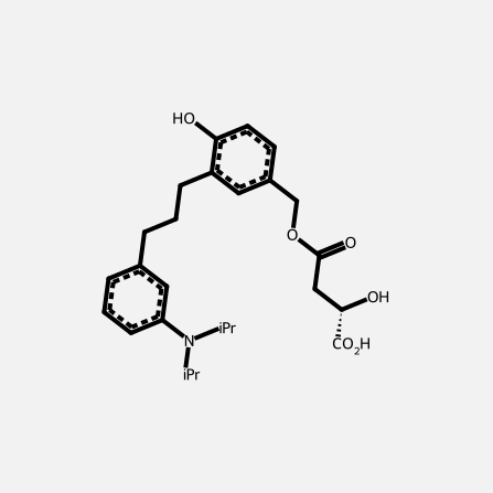 CC(C)N(c1cccc(CCCc2cc(COC(=O)C[C@H](O)C(=O)O)ccc2O)c1)C(C)C